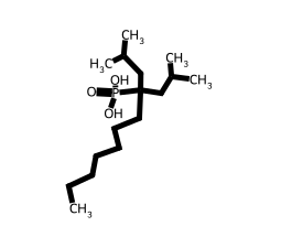 CCCCCCCC(CC(C)C)(CC(C)C)P(=O)(O)O